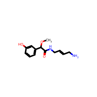 COC(C(=O)NCC=CCN)c1cccc(O)c1